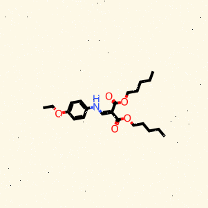 CCCCCOC(=O)C(=CNc1ccc(OCC)cc1)C(=O)OCCCCC